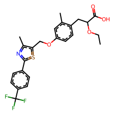 CCOC(Cc1ccc(OCc2sc(-c3ccc(C(F)(F)F)cc3)nc2C)cc1C)C(=O)O